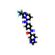 O=C(Nc1ccc(Nc2cccc3nc(C(F)(F)F)cn23)cc1)c1ccn2ccnc2c1